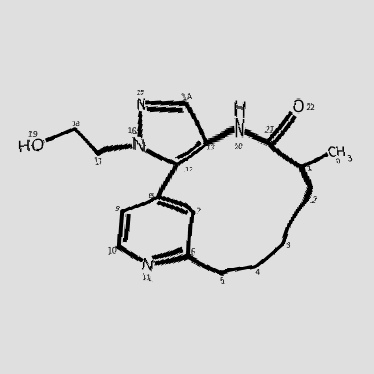 CC1CCCCc2cc(ccn2)-c2c(cnn2CCO)NC1=O